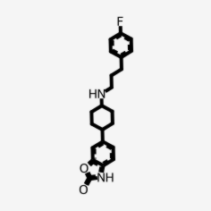 O=c1[nH]c2ccc(C3CCC(NCCCc4ccc(F)cc4)CC3)cc2o1